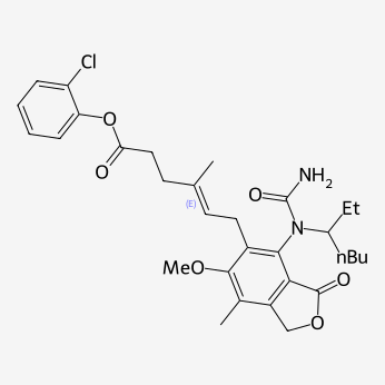 CCCCC(CC)N(C(N)=O)c1c(C/C=C(\C)CCC(=O)Oc2ccccc2Cl)c(OC)c(C)c2c1C(=O)OC2